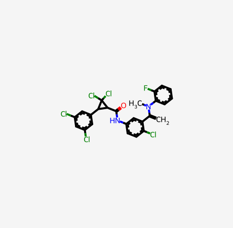 C=C(c1cc(NC(=O)C2C(c3cc(Cl)cc(Cl)c3)C2(Cl)Cl)ccc1Cl)N(C)c1ccccc1F